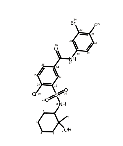 CC1(O)CCCCC1NS(=O)(=O)c1cc(C(=O)Nc2ccc(F)c(Br)c2)ccc1Cl